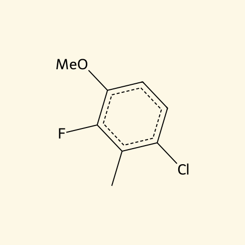 COc1ccc(Cl)c(C)c1F